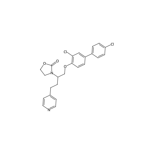 O=C1OCCN1C(CCc1ccncc1)COc1ccc(-c2ccc(Cl)cc2)cc1Cl